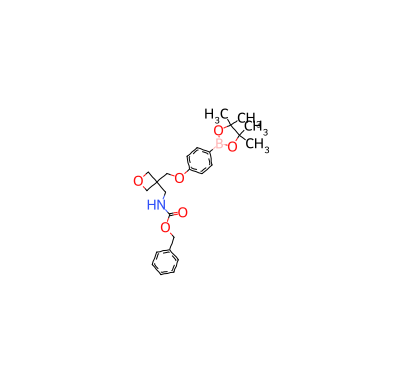 CC1(C)OB(c2ccc(OCC3(CNC(=O)OCc4ccccc4)COC3)cc2)OC1(C)C